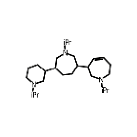 CC(C)N1CCC=CC(C2CCC(C3CCCN(C(C)C)C3)CN(C(C)C)C2)C1